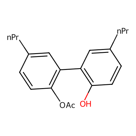 CCCc1ccc(O)c(-c2cc(CCC)ccc2OC(C)=O)c1